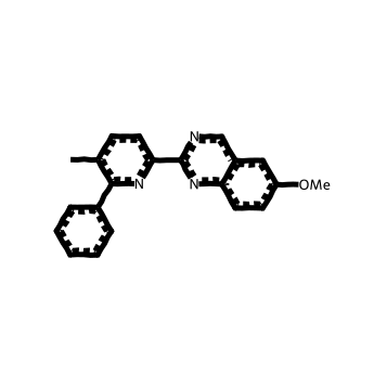 COc1ccc2nc(-c3ccc(C)c(-c4ccccc4)n3)ncc2c1